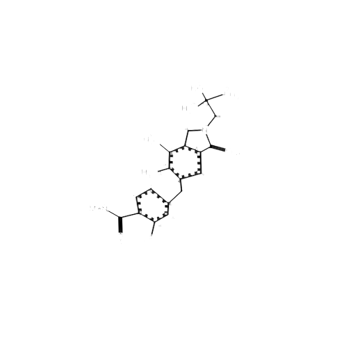 CNC(=O)c1ccc(Cc2cc3c(c(C)c2C)CN(CC(C)(C)O)C3=O)cc1F